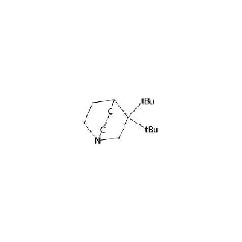 CC(C)(C)C1(C(C)(C)C)CN2CCC1CC2